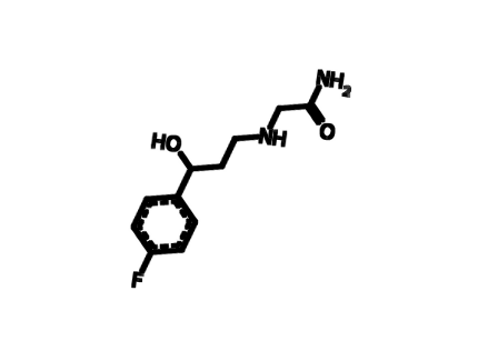 NC(=O)CNCCC(O)c1ccc(F)cc1